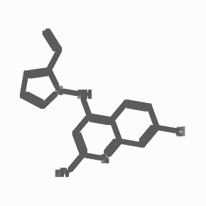 C=Cc1cccn1Nc1cc(CCC)nc2cc(Cl)ccc12